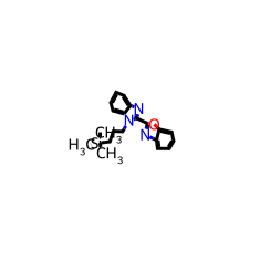 C[Si](C)(C)CCCn1c(-c2nc3ccccc3o2)nc2ccccc21